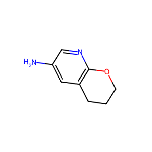 Nc1cnc2c(c1)CCCO2